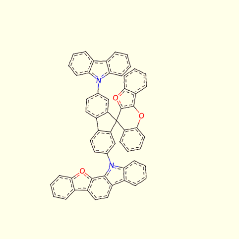 c1ccc2c(c1)Oc1c(oc3ccccc13)C21c2cc(-n3c4ccccc4c4ccccc43)ccc2-c2ccc(-n3c4ccccc4c4ccc5c6ccccc6oc5c43)cc21